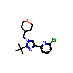 CC(C)(C)c1nc(-c2cccc(Br)n2)cn1CC1CCOCC1